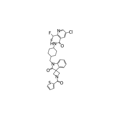 O=C(NC1CCC(CN2C(=O)C3(CN(C(=O)c4cccs4)C3)c3ccccc32)CC1)c1cc(Cl)cnc1C(F)F